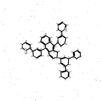 C1=CCCC(C2C=C(C3C=Cc4c(c(C5C=C(C6CC=CC=N6)CCC5)c5ccccc5c4C4=CC(C5C=CCCN5)CC=C4)C3)C=C(C3=CCCC=C3)C2)=C1